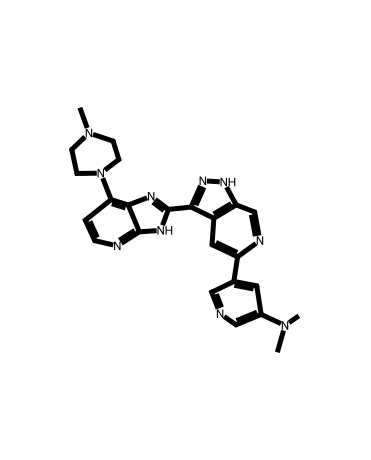 CN1CCN(c2ccnc3[nH]c(-c4n[nH]c5cnc(-c6cncc(N(C)C)c6)cc45)nc23)CC1